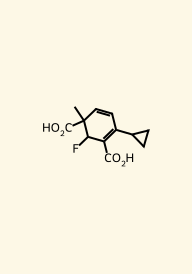 CC1(C(=O)O)C=CC(C2CC2)=C(C(=O)O)C1F